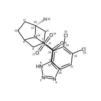 O=C(c1cnn[nH]1)N1CC2CC[C@@H](C1)N2S(=O)(=O)c1cccc(Cl)c1Cl